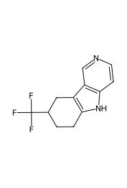 FC(F)(F)C1CCc2[nH]c3ccncc3c2C1